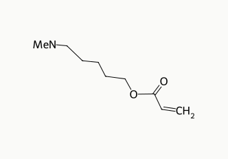 C=CC(=O)OCCCCCNC